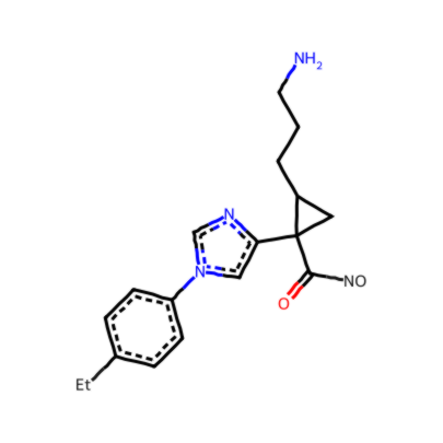 CCc1ccc(-n2cnc(C3(C(=O)N=O)CC3CCCN)c2)cc1